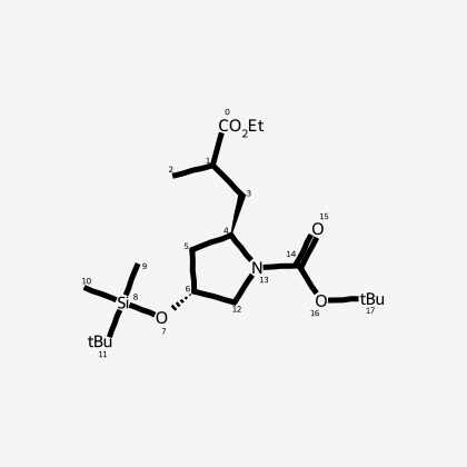 CCOC(=O)C(C)C[C@@H]1C[C@@H](O[Si](C)(C)C(C)(C)C)CN1C(=O)OC(C)(C)C